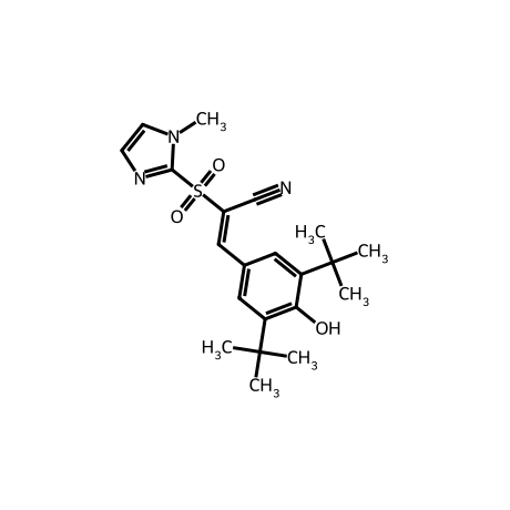 Cn1ccnc1S(=O)(=O)/C(C#N)=C/c1cc(C(C)(C)C)c(O)c(C(C)(C)C)c1